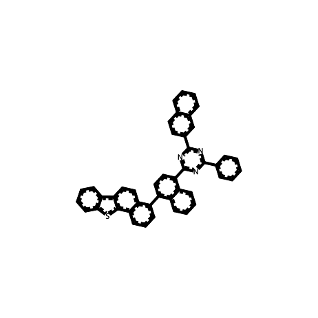 c1ccc(-c2nc(-c3ccc4ccccc4c3)nc(-c3ccc(-c4cccc5c4ccc4c6ccccc6sc54)c4ccccc34)n2)cc1